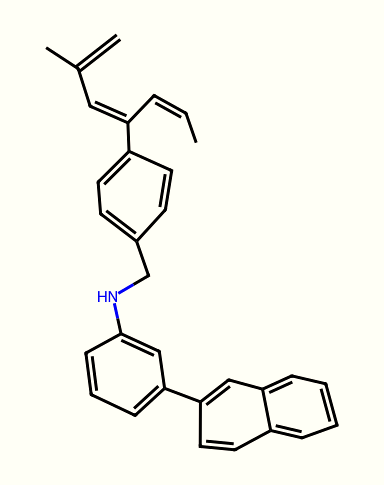 C=C(C)/C=C(\C=C/C)c1ccc(CNc2cccc(-c3ccc4ccccc4c3)c2)cc1